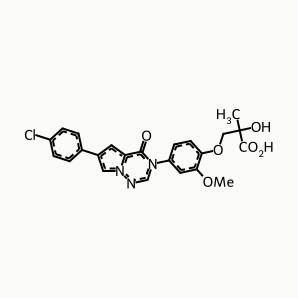 COc1cc(-n2cnn3cc(-c4ccc(Cl)cc4)cc3c2=O)ccc1OCC(C)(O)C(=O)O